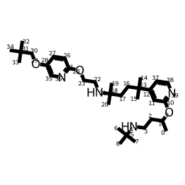 CC(CCNC(C)(C)C)Oc1cc(C(C)(C)CCC(C)(C)NCCOc2ccc(OCC(C)(C)C)cn2)ccn1